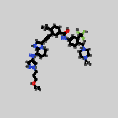 COCCCn1cc(Nc2cccn3c(C#Cc4cc(C(=O)Nc5ccc(CN6CCN(C)CC6)c(C(F)(F)F)c5)ccc4C)cnc23)cn1